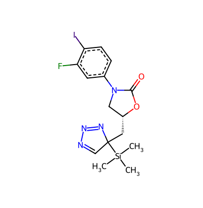 C[Si](C)(C)C1(C[C@@H]2CN(c3ccc(I)c(F)c3)C(=O)O2)C=NN=N1